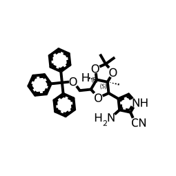 CC1(C)O[C@@H]2C(COC(c3ccccc3)(c3ccccc3)c3ccccc3)OC(c3c[nH]c(C#N)c3N)[C@]2(C)O1